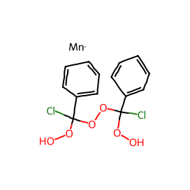 OOC(Cl)(OOC(Cl)(OO)c1ccccc1)c1ccccc1.[Mn]